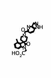 Cc1cccc2c1C1(CCN(C(=O)c3ccc4[nH]ncc4n3)CC1)C(=O)N2CC(=O)O